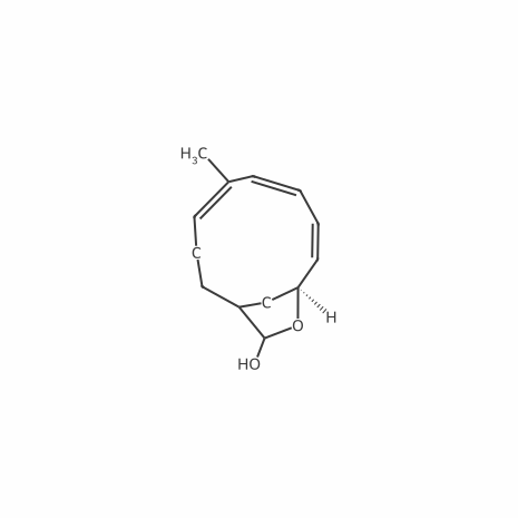 CC1=CCCC2C[C@@H](C=CC=C1)OC2O